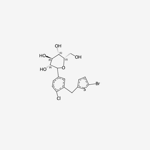 OC[C@@H]1OC(c2ccc(Cl)c(Cc3ccc(Br)s3)c2)[C@H](O)[C@@H](O)[C@@H]1O